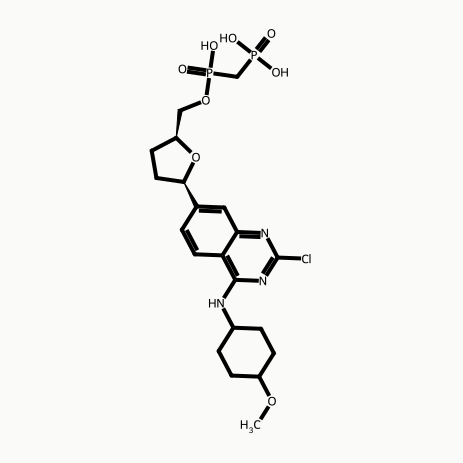 COC1CCC(Nc2nc(Cl)nc3cc([C@H]4CC[C@@H](COP(=O)(O)CP(=O)(O)O)O4)ccc23)CC1